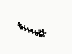 S=C=NCCCCSCCOc1ccccn1